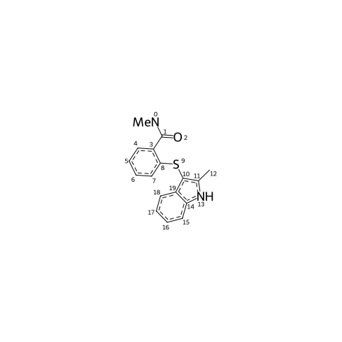 CNC(=O)c1ccccc1Sc1c(C)[nH]c2ccccc12